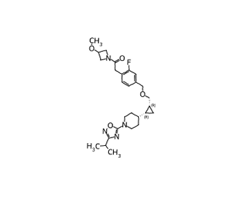 COC1CN(C(=O)Cc2ccc(COC[C@@H]3C[C@@H]3C3CCN(c4nc(C(C)C)no4)CC3)cc2F)C1